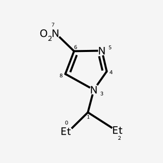 CCC(CC)n1cnc([N+](=O)[O-])c1